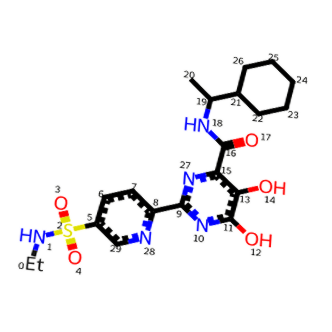 CCNS(=O)(=O)c1ccc(-c2nc(O)c(O)c(C(=O)NC(C)C3CCCCC3)n2)nc1